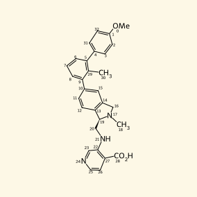 COc1ccc(-c2cccc(-c3ccc4c(c3)CN(C)[C@H]4CNc3cnccc3C(=O)O)c2C)cc1